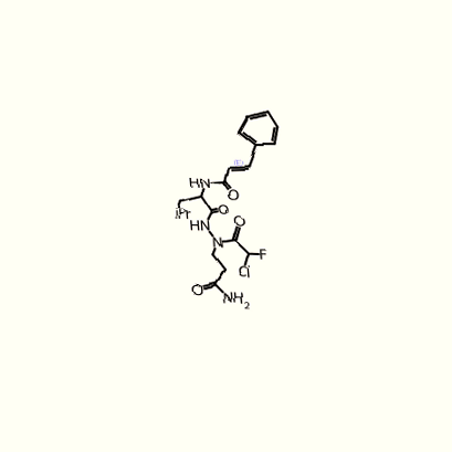 CC(C)CC(NC(=O)/C=C/c1ccccc1)C(=O)NN(CCC(N)=O)C(=O)C(F)Cl